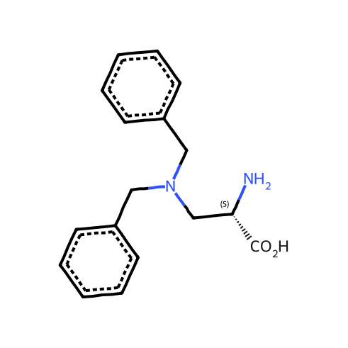 N[C@@H](CN(Cc1ccccc1)Cc1ccccc1)C(=O)O